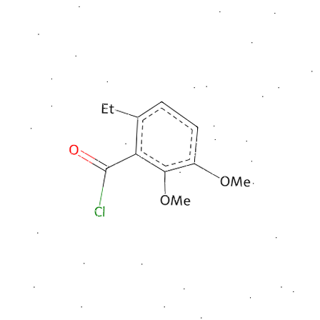 CCc1ccc(OC)c(OC)c1C(=O)Cl